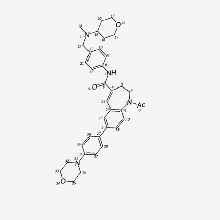 CC(=O)N1CCC(C(=O)Nc2ccc(CN(C)C3CCOCC3)cc2)=Cc2cc(-c3ccc(N4CCOCC4)cc3)ccc21